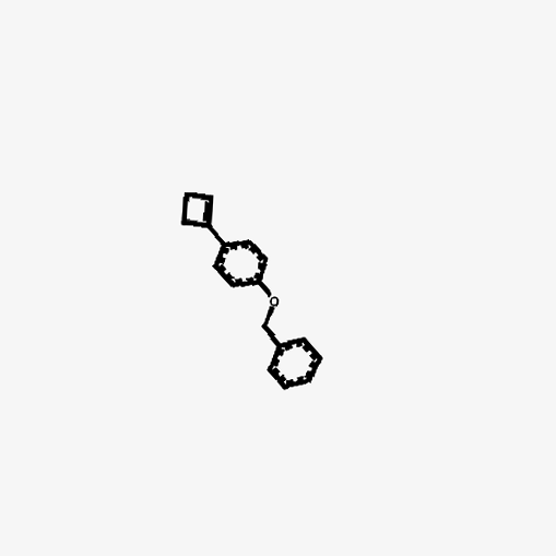 C1=C(c2ccc(OCc3ccccc3)cc2)CC1